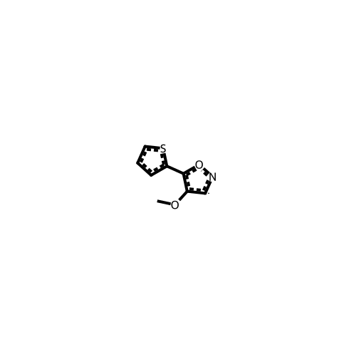 COc1[c]noc1-c1cccs1